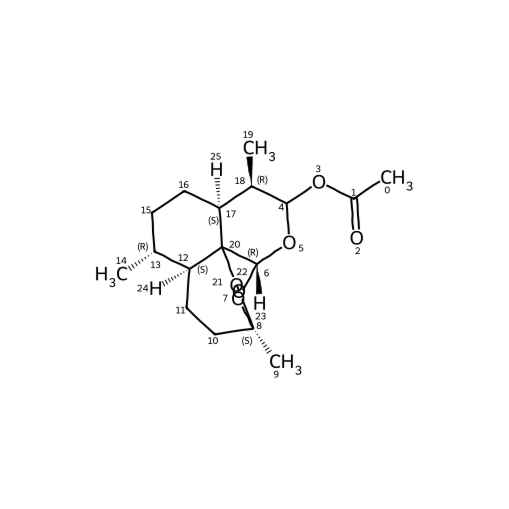 CC(=O)OC1O[C@@H]2O[C@]3(C)CC[C@H]4[C@H](C)CC[C@@H]([C@H]1C)C24OO3